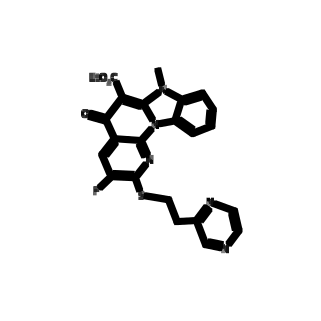 CCOC(=O)c1c(=O)c2cc(F)c(SCCc3cnccn3)nc2n2c3ccccc3n(C)c12